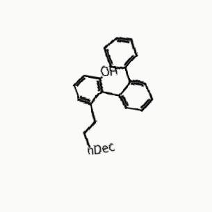 CCCCCCCCCCCCc1cccc(O)c1-c1ccccc1-c1ccccc1